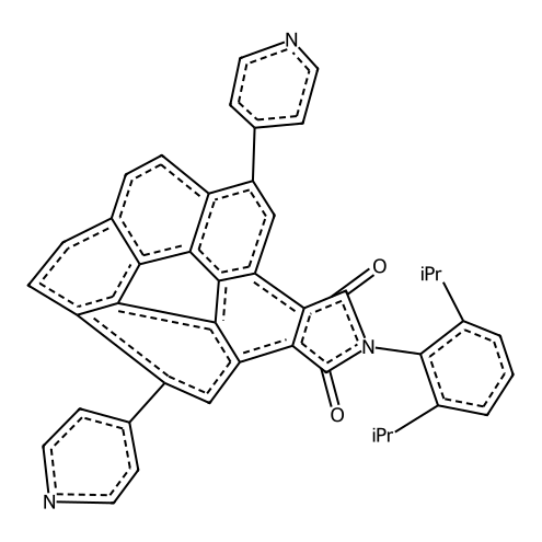 CC(C)c1cccc(C(C)C)c1-n1c(=O)c2c3cc(-c4ccncc4)c4ccc5ccc6c(-c7ccncc7)cc(c2c1=O)c1c6c5c4c31